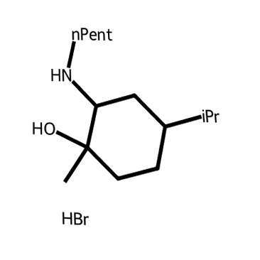 Br.CCCCCNC1CC(C(C)C)CCC1(C)O